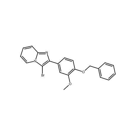 COc1cc(-c2nc3ccccn3c2Br)ccc1OCc1ccccc1